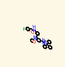 O=C(Cc1ccc(F)cc1)Nc1cccc(-c2nn(C3CCCCO3)c3ccc(-c4ncn(C(c5ccccc5)(c5ccccc5)c5ccccc5)n4)cc23)c1